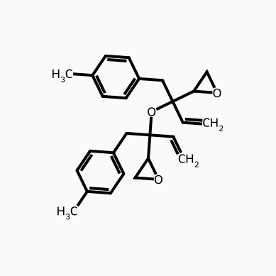 C=CC(Cc1ccc(C)cc1)(OC(C=C)(Cc1ccc(C)cc1)C1CO1)C1CO1